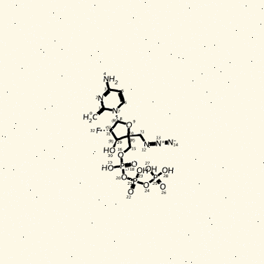 C=C1N=C(N)C=CN1[C@@H]1O[C@](CN=[N+]=[N-])(COP(=O)(O)OP(=O)(O)OP(=O)(O)O)[C@@H](O)[C@@H]1F